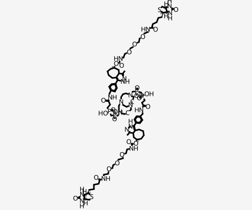 CC1=NNC(c2ccc(CNC(=O)CCP(=O)(O)CP(=O)(O)CN3CCCN4CCN(CCCN(CP(=O)(O)CP(=O)(O)CCC(=O)NCc5ccc(C6=C7CCCC[C@@H](OC(=O)NCCOCCOCCOCCNC(=O)CCCC[C@H]8SC[C@H]9NC(=O)N[C@H]98)CC7C(C)=NN6)cc5)CC4)CC3)cc2)=C2CCCC[C@@H](OC(=O)NCCOCCOCCOCCNC(=O)CCCC[C@H]3SC[C@H]4NC(=O)N[C@H]43)CC12